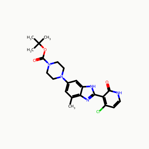 Cc1cc(N2CCN(C(=O)OC(C)(C)C)CC2)cc2[nH]c(-c3c(Cl)cc[nH]c3=O)nc12